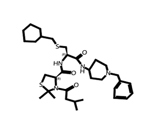 CC(C)CC(=O)N1[C@H](C(=O)N[C@@H](CSCC2CCCCC2)C(=O)NC2CCN(Cc3ccccc3)CC2)CSC1(C)C